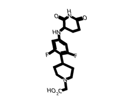 O=C(O)CN1CCC(c2c(F)cc(NC3CCC(=O)NC3=O)cc2F)CC1